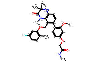 CNC(=O)COc1ccc(-c2ccc3c(c2COc2cc(F)ccc2C)N(C)C(=O)C(C)(C)N3)c(OC)c1